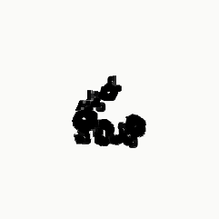 COc1ccc(NC(=O)Nc2ccc(C)c(Cl)c2)cc1N1CCN(CC2COc3ccccc3O2)CC1